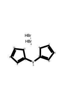 Br.Br.C1=CC[C]([V][C]2=CC=CC2)=C1